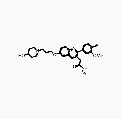 COc1cc(-c2nc3ccc(OCCCN4CCC(O)CC4)cc3cc2CC(=O)NC(C)C)ccc1F